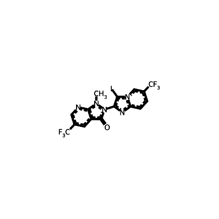 Cn1c2ncc(C(F)(F)F)cc2c(=O)n1-c1nc2ccc(C(F)(F)F)cn2c1I